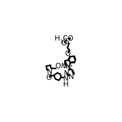 COCC1CCCN1C(=O)C1CCC(Nc2nccc(-n3ccc4c(OCCCS(C)(=O)=O)cccc43)n2)CC1